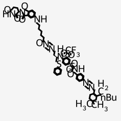 C=C(CCCC)C1=C(CN2CCN(c3ccc(C(=O)NS(=O)(=O)c4ccc(N[C@H](CCN5CCN(C(=O)CCCCCCNc6ccc7c(c6)C(=O)N(C6CCC(=O)NC6=O)C7=O)CC5)CSc5ccccc5)c(S(=O)(=O)C(F)(F)F)c4)cc3)CC2)CCC(C)(C)C1